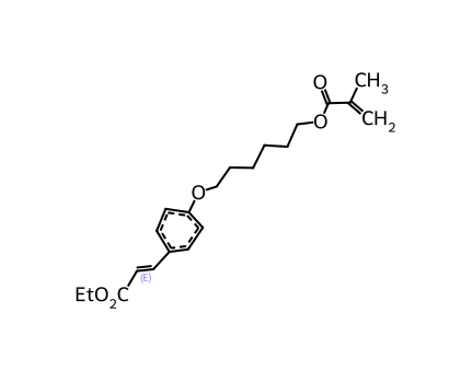 C=C(C)C(=O)OCCCCCCOc1ccc(/C=C/C(=O)OCC)cc1